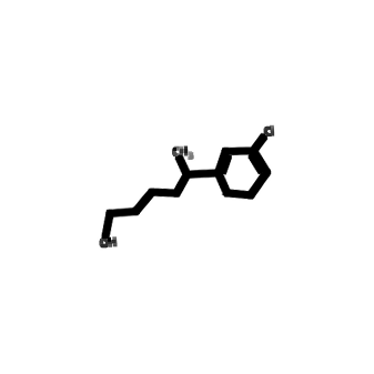 CC(CCCCO)C1=CC(Cl)=CC[CH]1